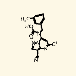 Cc1cccc(CN(C(=O)O)c2cc(Cl)nc3c(C#N)cnn23)c1